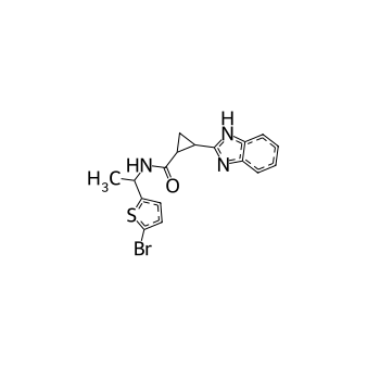 CC(NC(=O)C1CC1c1nc2ccccc2[nH]1)c1ccc(Br)s1